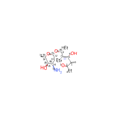 C=C(C(=O)CC)/C(O)=C(\CC)[C@@H](CC)O[C@@H]1C[C@@H](N)[C@@H](O)[C@@H](C)O1